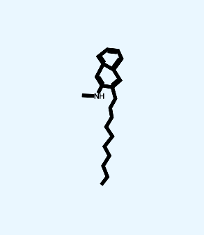 CCCCCCCCCCc1cc2ccccc2cc1NC